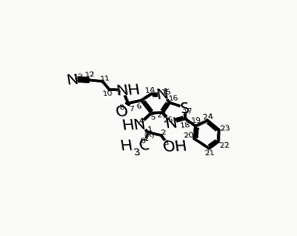 C[C@H](CO)Nc1c(C(=O)NCCC#N)cnc2sc(-c3ccccc3)nc12